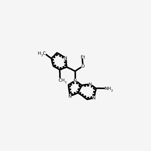 CCOC(c1ncc(C)cc1C)n1cnc2cnc(N)nc21